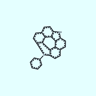 c1ccc(-n2c3ccc4ccc5[nH]c6ccc7ccc2c2c7c6c5c4c23)cc1